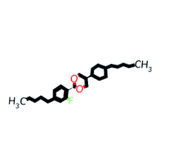 CCCCCc1ccc([C@H]2OC[C@H](C3CCC(CCCCC)CC3)CO2)c(F)c1